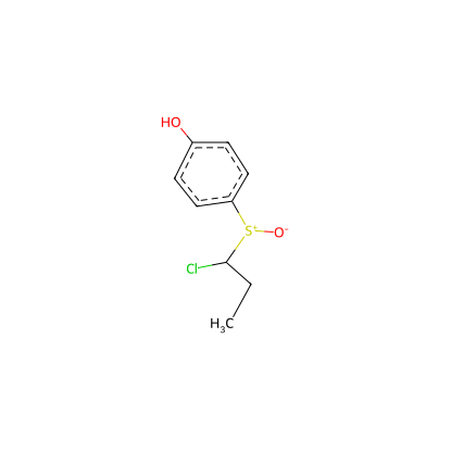 CCC(Cl)[S+]([O-])c1ccc(O)cc1